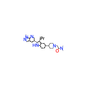 CC(C)c1c(-c2cnc3c(cnn3C)c2)[nH]c2ccc(C3CCN(CC(=O)N(C)C)CC3)cc12